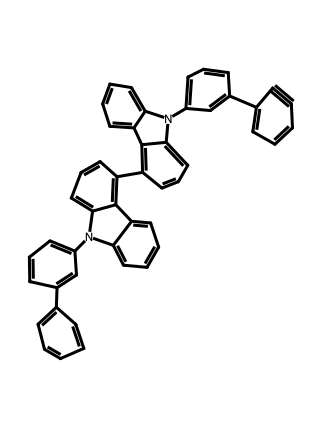 c1cccc(-c2cccc(-n3c4ccccc4c4c(-c5cccc6c5c5ccccc5n6-c5cccc(-c6ccccc6)c5)cccc43)c2)c#1